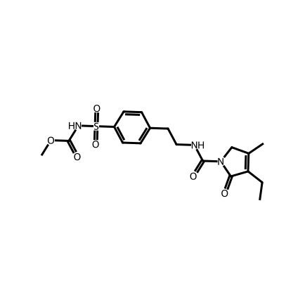 CCC1=C(C)CN(C(=O)NCCc2ccc(S(=O)(=O)NC(=O)OC)cc2)C1=O